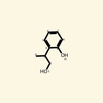 CC(CO)c1ccccc1O